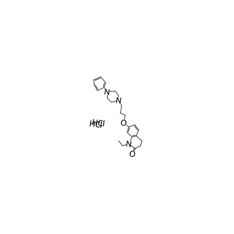 CCN1C(=O)CCc2ccc(OCCCN3CCN(c4ccccc4)CC3)cc21.Cl.Cl